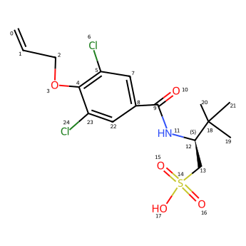 C=CCOc1c(Cl)cc(C(=O)N[C@H](CS(=O)(=O)O)C(C)(C)C)cc1Cl